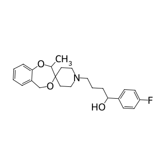 CC1Oc2ccccc2COC12CCN(CCCC(O)c1ccc(F)cc1)CC2